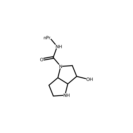 CCCNC(=O)N1CC(O)C2NCCC21